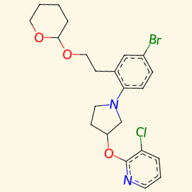 Clc1cccnc1OC1CCN(c2ccc(Br)cc2CCOC2CCCCO2)C1